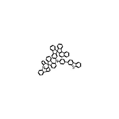 c1ccc2c(c1)-c1ccc(N(c3ccc(-c4ccc5c(c4)sc4ccccc45)cc3)c3cccc4c3-c3ccccc3C43c4ccccc4-n4c5ccccc5c5cccc3c54)cc1C21c2ccccc2-c2c1ccc1ccccc21